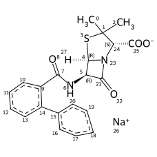 CC1(C)S[C@@H]2[C@H](NC(=O)c3ccccc3-c3ccccc3)C(=O)N2[C@H]1C(=O)[O-].[Na+]